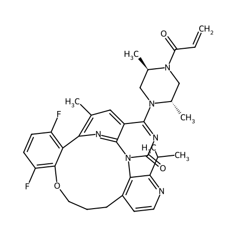 C=CC(=O)N1C[C@H](C)N(c2nc(=O)n3c4nc(c(C)cc24)-c2c(F)ccc(F)c2OCCCc2ccnc(C(C)C)c2-3)C[C@H]1C